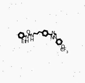 CCc1ccccc1NC(=O)NCCCc1ccc(-c2ncn(-c3ccc(OC(F)(F)F)cc3)n2)cc1